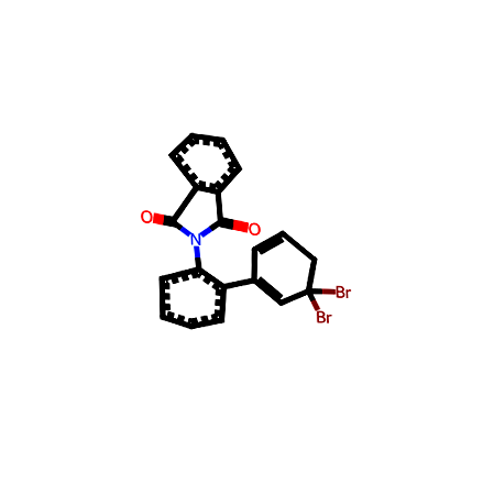 O=C1c2ccccc2C(=O)N1c1ccccc1C1=CC(Br)(Br)CC=C1